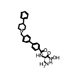 NC[C@H](NC(=O)c1ccc(-c2ccc(CN3CCC(c4ccccc4)CC3)cc2)cc1)C(=O)NO